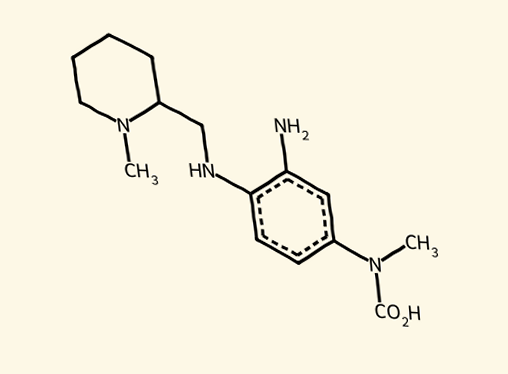 CN(C(=O)O)c1ccc(NCC2CCCCN2C)c(N)c1